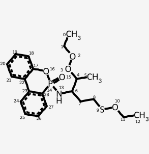 CCOOC(C)C(CCSOCC)NP1(=O)Oc2ccccc2-c2ccccc21